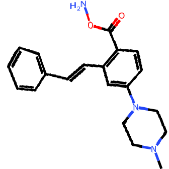 CN1CCN(c2ccc(C(=O)ON)c(C=Cc3ccccc3)c2)CC1